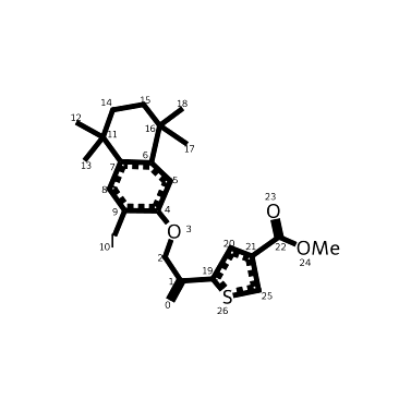 C=C(COc1cc2c(cc1I)C(C)(C)CCC2(C)C)c1cc(C(=O)OC)cs1